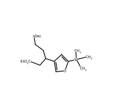 CCCCCCCCCCCCC(CC(=O)OCC)c1coc([Si](C)(C)C)c1